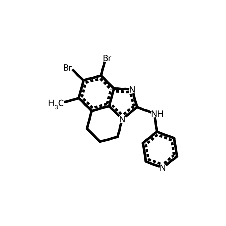 Cc1c(Br)c(Br)c2nc(Nc3ccncc3)n3c2c1CCC3